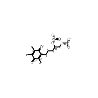 CC1=C(C)C(=O)C(CCCC(CO[N+](=O)[O-])O[N+](=O)[O-])=C(C)C1=O